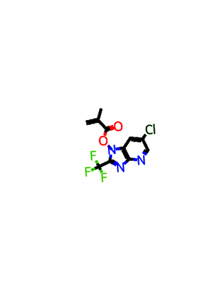 C=C(C)C(=O)On1c(C(F)(F)F)nc2ncc(Cl)cc21